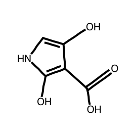 O=C(O)c1c(O)c[nH]c1O